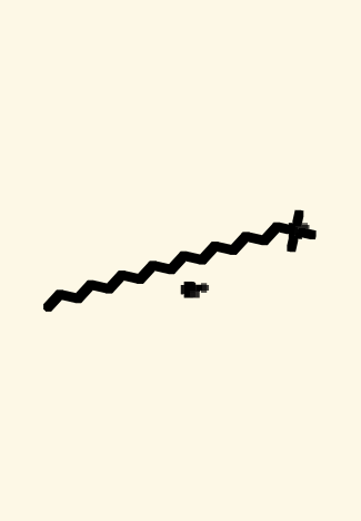 CCCCCCCCCCCCCCCC[N+](C)(C)C.[Br+]